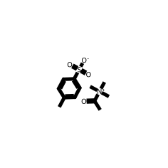 CC(=O)[N+](C)(C)C.Cc1ccc(S(=O)(=O)[O-])cc1